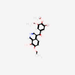 CCOc1ccc2c(C(=O)c3cc(Br)c(OC)c(OC)c3)cncc2c1O